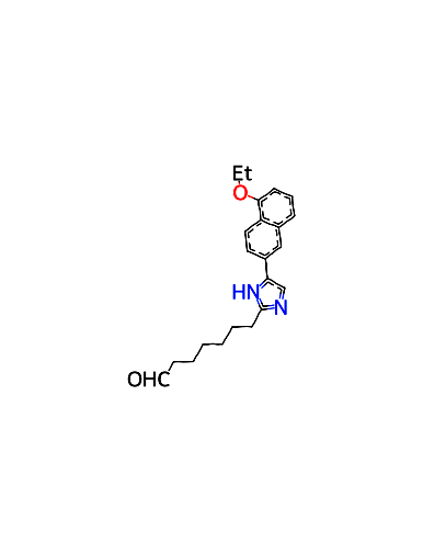 CCOc1cccc2cc(-c3cnc(CCCCCCC=O)[nH]3)ccc12